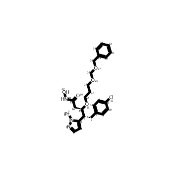 CC(C)n1nccc1[C@@H](Cc1ccc(Cl)cc1)[C@@H](CC(=O)NO)OCCCOCOCc1ccccc1